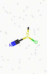 C[SH](Cl)C#N